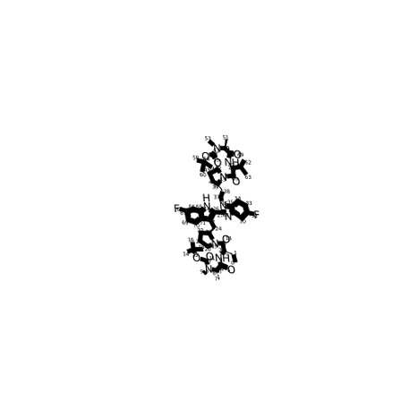 CC[C@H](NC(=O)[C@H](C)N(C)C(=O)OC(C)(C)C)C(=O)N1CCC[C@H]1Cc1c(-c2nc3cc(F)ccc3n2CC[C@@H]2CCCN2C(=O)[C@@H](NC(=O)[C@H](C)N(C)C(=O)OC(C)(C)C)C(C)C)[nH]c2cc(F)ccc12